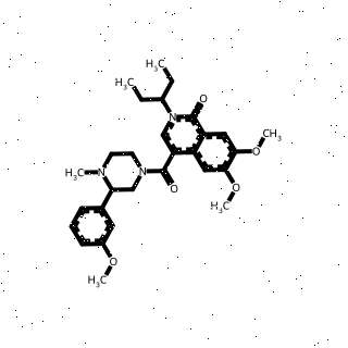 CCC(CC)n1cc(C(=O)N2CCN(C)C(c3cccc(OC)c3)C2)c2cc(OC)c(OC)cc2c1=O